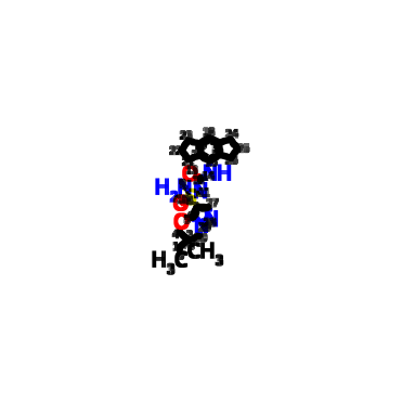 CC[C@]1(C)COc2c(S(N)(=O)=NC(=O)Nc3c4c(cc5c3CCC5)CCC4)cnn2C1